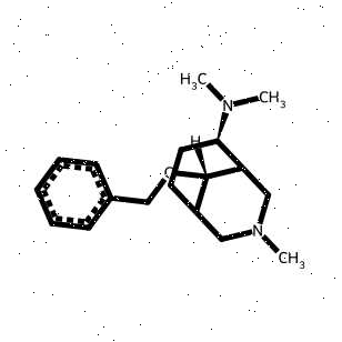 CN1CC2CC[C@@H](N(C)C)C(C1)[C@H]2OCc1ccccc1